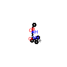 COC(=O)[C@H](CCCNC(=O)OCc1ccccc1)NC(c1ccccc1)(c1ccccc1)c1ccccc1